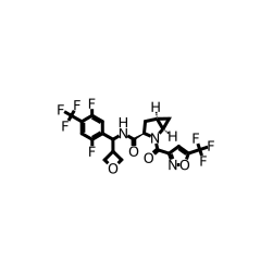 O=C(NC(c1cc(F)c(C(F)(F)F)cc1F)C1COC1)[C@H]1C[C@H]2C[C@H]2N1C(=O)c1cc(C(F)(F)F)on1